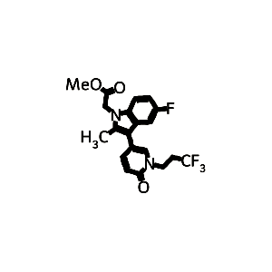 COC(=O)Cn1c(C)c(-c2ccc(=O)n(CCC(F)(F)F)c2)c2cc(F)ccc21